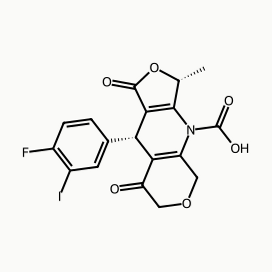 C[C@H]1OC(=O)C2=C1N(C(=O)O)C1=C(C(=O)COC1)[C@@H]2c1ccc(F)c(I)c1